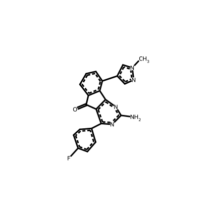 Cn1cc(-c2cccc3c2-c2nc(N)nc(-c4ccc(F)cc4)c2C3=O)cn1